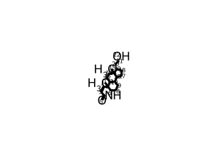 CC12C=CC(=O)NC1CCC1C2CCC2(C)C1CC[C@@H]2CCO